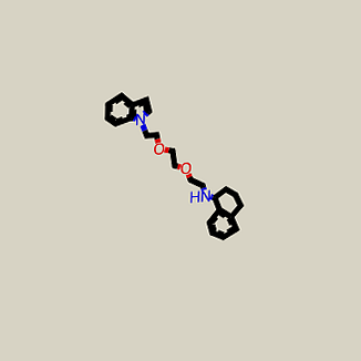 c1ccc2c(c1)CCCC2NCCOCCOCCn1ccc2ccccc21